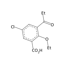 CCOc1c(C(=O)O)cc(Cl)cc1C(=O)CC